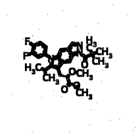 COC(=O)[C@@H](Cc1c(C(C)C)n(-c2ccc(F)c(F)c2)c2cc3cnn(C(=O)C(C)(C)C)c3cc12)OC